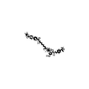 Cc1ncsc1-c1ccc(CCNC(=O)[C@@H]2C[C@@H](O)CN2C(=O)C(C)(C)[C@H](C)NC(=O)CCCCCCCNC(=O)c2ccc(N3CCN(C(=O)OC(C)(C)C)CC3)cn2)cc1